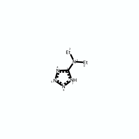 CCN(CC)c1nnn[nH]1